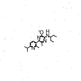 CCC(CC)Nc1nc(C)c(-c2ccc(C(C)C)nc2C)nc1OC